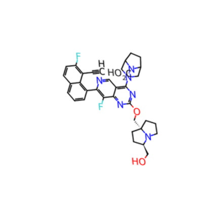 C#Cc1c(F)ccc2cccc(-c3ncc4c(N5CC6CCC(C5)N6C(=O)O)nc(OC[C@]56CCCN5[C@@H](CO)CC6)nc4c3F)c12